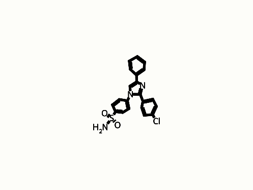 NS(=O)(=O)c1ccc(-n2cc(-c3ccccc3)nc2-c2ccc(Cl)cc2)cc1